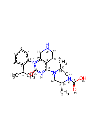 CC(C)c1ccccc1-n1c2c(c(N3C[C@@H](C)N(C(=O)O)C[C@@H]3C)nc1=O)CCNC2